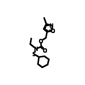 CCN(SC1CCCCC1)C(=O)OCc1cc(C)no1